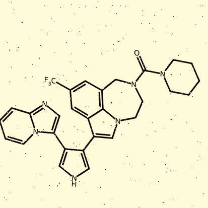 O=C(N1CCCCC1)N1CCn2cc(-c3c[nH]cc3-c3cnc4ccccn34)c3cc(C(F)(F)F)cc(c32)C1